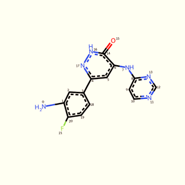 Nc1cc(-c2cc(Nc3ccncn3)c(=O)[nH]n2)ccc1F